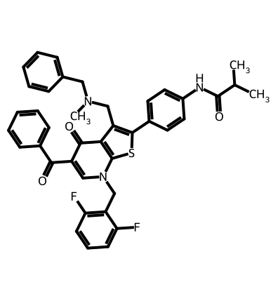 CC(C)C(=O)Nc1ccc(-c2sc3c(c2CN(C)Cc2ccccc2)c(=O)c(C(=O)c2ccccc2)cn3Cc2c(F)cccc2F)cc1